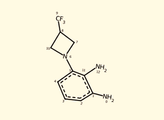 Nc1cccc(N2CC(C(F)(F)F)C2)c1N